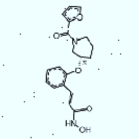 O=C(C=Cc1ccccc1O[C@H]1CCCN(C(=O)c2ccco2)C1)NO